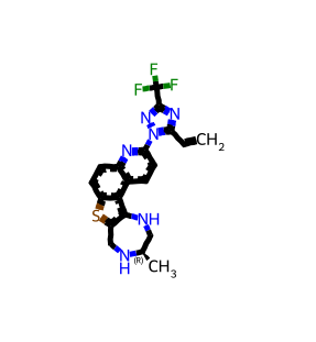 C=Cc1nc(C(F)(F)F)nn1-c1ccc2c(ccc3sc4c(c32)NC[C@@H](C)NC4)n1